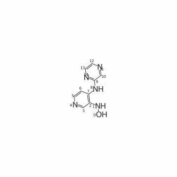 ONc1cnccc1Nc1cnccn1